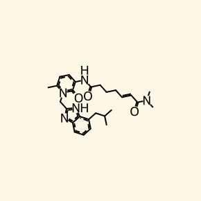 Cc1ccc(NC(=O)CCC/C=C/C(=O)N(C)C)c(=O)n1Cc1nc2cccc(CC(C)C)c2[nH]1